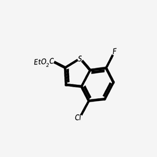 CCOC(=O)c1cc2c(Cl)ccc(F)c2s1